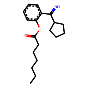 CCCCCCC(=O)Oc1ccccc1C(=N)C1CCCC1